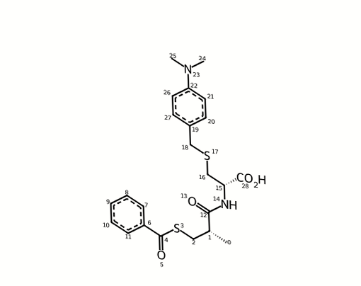 C[C@H](CSC(=O)c1ccccc1)C(=O)N[C@H](CSCc1ccc(N(C)C)cc1)C(=O)O